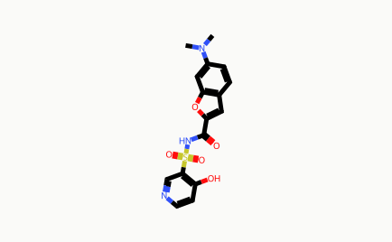 CN(C)c1ccc2cc(C(=O)NS(=O)(=O)c3cnccc3O)oc2c1